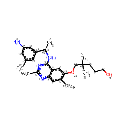 COc1cc2nc(C)nc(N[C@H](C)c3cc(N)cc(C(F)(F)F)c3)c2cc1OCC(C)(C)CCCO